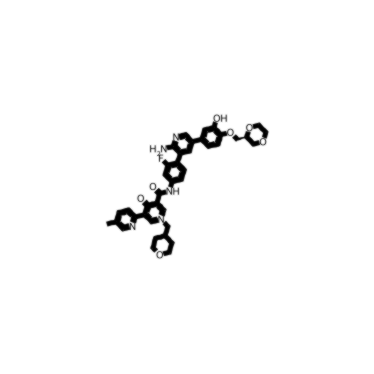 Cc1ccc(-c2cn(CC3CCOCC3)cc(C(=O)Nc3ccc(-c4cc(-c5ccc(OC[C@@H]6COCCO6)c(O)c5)cnc4N)c(F)c3)c2=O)nc1